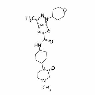 Cc1nn(C2CCOCC2)c2sc(C(=O)NC3CCC(N4CCN(C)CC4=O)CC3)cc12